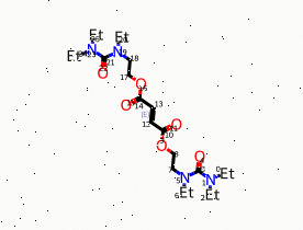 CCN(CC)C(=O)N(CC)CCOC(=O)/C=C/C(=O)OCCN(CC)C(=O)N(CC)CC